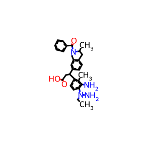 CCN(N)c1ccc(C(CC(=O)O)c2ccc3c(c2)CN(C(=O)c2ccccc2)C(C)C3)c(C)c1N